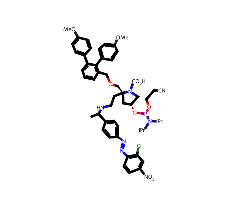 COc1ccc(-c2cccc(COC[C@]3(CCNC(C)c4ccc(N=Nc5ccc([N+](=O)[O-])cc5Cl)cc4)C[C@@H](OP(OCCC#N)N(C(C)C)C(C)C)CN3C(=O)O)c2-c2ccc(OC)cc2)cc1